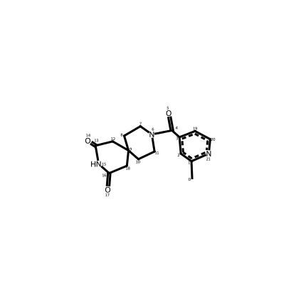 Cc1cc(C(=O)N2CCC3(CC2)CC(=O)NC(=O)C3)ccn1